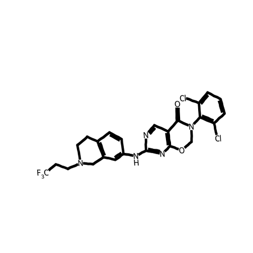 O=C1c2cnc(Nc3ccc4c(c3)CN(CCC(F)(F)F)CC4)nc2OCN1c1c(Cl)cccc1Cl